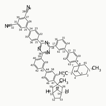 C[C@@H]1CC2C[C@H](C)CC(c3ccc(-c4cccc(-c5nc(-c6ccc(-c7cc(C#N)cc(C#N)c7)cc6)nc(-c6cccc(-c7ccc(C8(C)C[C@@H]9CC[C@@H](C9)C8)cc7)c6)n5)c4)cc3)(C2)C1